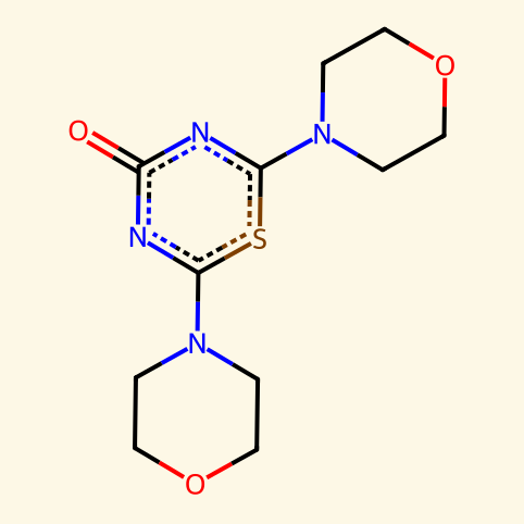 O=c1nc(N2CCOCC2)sc(N2CCOCC2)n1